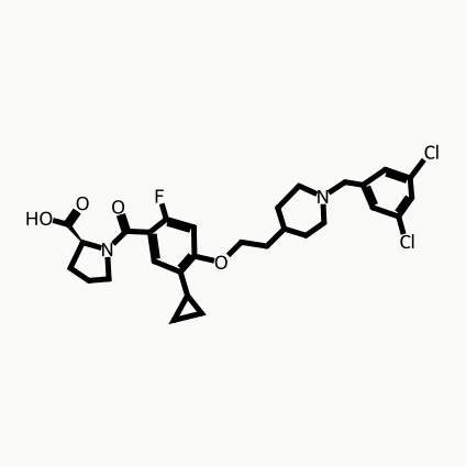 O=C(O)[C@@H]1CCCN1C(=O)c1cc(C2CC2)c(OCCC2CCN(Cc3cc(Cl)cc(Cl)c3)CC2)cc1F